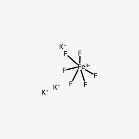 [F][Fe-3]([F])([F])([F])([F])[F].[K+].[K+].[K+]